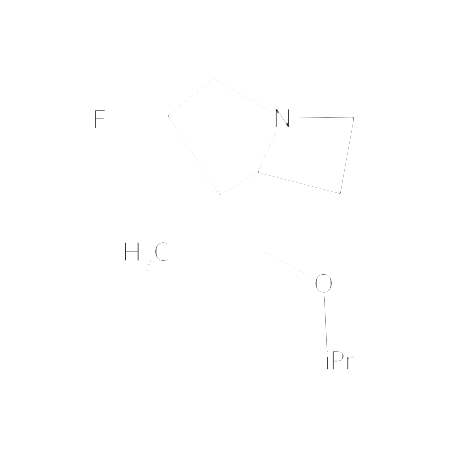 CC(C)OC[C@@]12CCN1C[C@@H](F)[C@H]2C